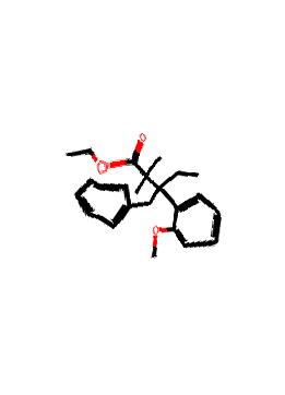 CCOC(=O)C(C)(C)C(CC)(Cc1ccccc1)c1ccccc1OC